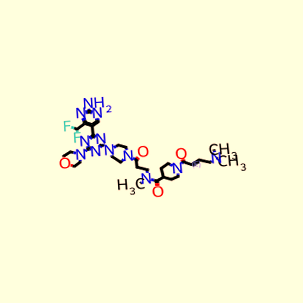 CN(C)C/C=C/C(=O)N1CCC(C(=O)N(C)CCC(=O)N2CCN(c3nc(-c4cnc(N)nc4C(F)F)nc(N4CCOCC4)n3)CC2)CC1